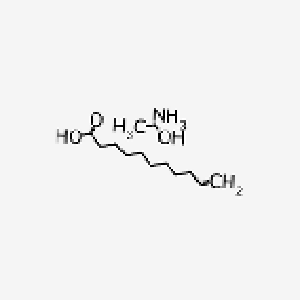 C=CCCCCCCCCC(=O)O.CCO.N